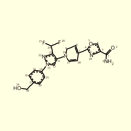 NC(=O)c1coc(C2=CCN(c3cn(-c4ccc(CO)cc4)nc3C(F)F)C=C2)n1